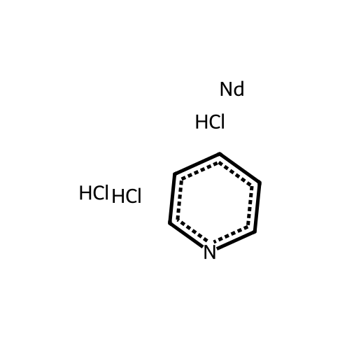 Cl.Cl.Cl.[Nd].c1ccncc1